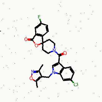 Cc1noc(C)c1Cn1cc(C(=O)N2CCC3(CC2)OC(=O)c2cc(F)ccc23)c2ccc(Cl)cc21